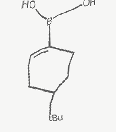 CC(C)(C)C1CC=C(B(O)O)CC1